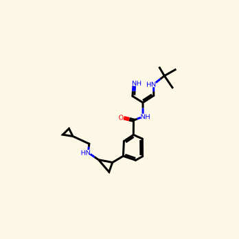 CC(C)(C)N/C=C(\C=N)NC(=O)c1cccc(C2CC2NCC2CC2)c1